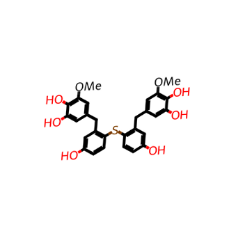 COc1cc(Cc2cc(O)ccc2Sc2ccc(O)cc2Cc2cc(O)c(O)c(OC)c2)cc(O)c1O